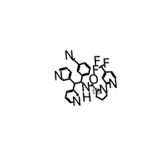 N#Cc1cccc(C(NC(=O)[C@@H]2CCCN2c2cc(C(F)(F)F)ccn2)C(c2cccnc2)c2cccnc2)c1